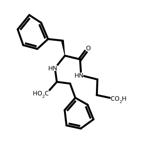 O=C(O)CCNC(=O)[C@H](Cc1ccccc1)NC(Cc1ccccc1)C(=O)O